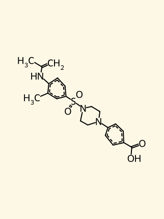 C=C(C)Nc1ccc(S(=O)(=O)N2CCN(c3ccc(C(=O)O)cc3)CC2)cc1C